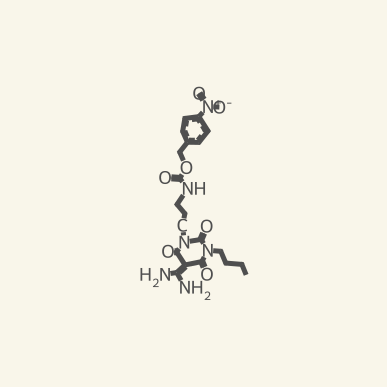 CCCCN1C(=O)C(=C(N)N)C(=O)N(CCCNC(=O)OCc2ccc([N+](=O)[O-])cc2)C1=O